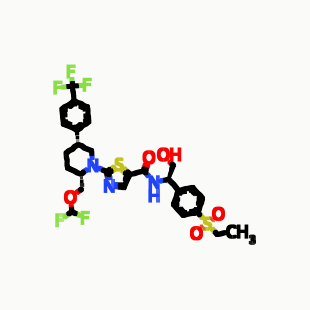 CCS(=O)(=O)c1ccc([C@H](CO)NC(=O)c2cnc(N3C[C@@H](c4ccc(C(F)(F)F)cc4)CC[C@H]3COC(F)F)s2)cc1